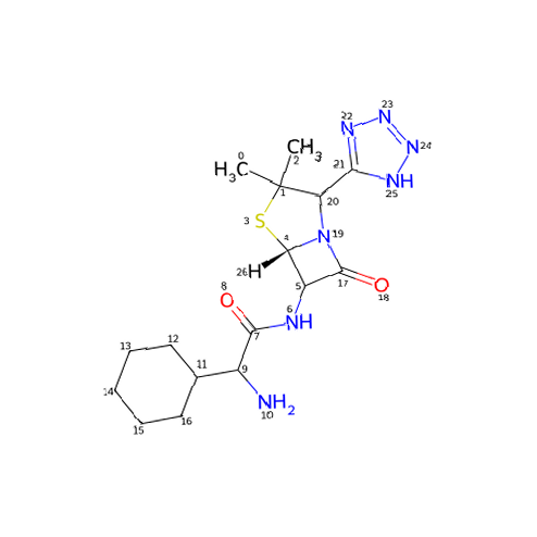 CC1(C)S[C@H]2C(NC(=O)C(N)C3CCCCC3)C(=O)N2C1c1nnn[nH]1